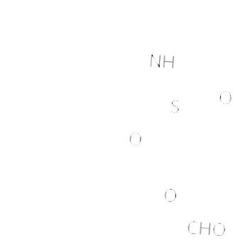 O=COCS(=O)(=O)Nc1ccccc1